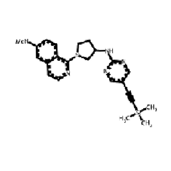 CNc1ccc2c(N3CCC(Nc4ncc(C#C[Si](C)(C)C)cn4)C3)nccc2c1